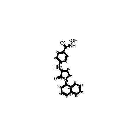 O=C(NO)c1ccc(NC2CCN(c3cccc4ccccc34)C2=O)cc1